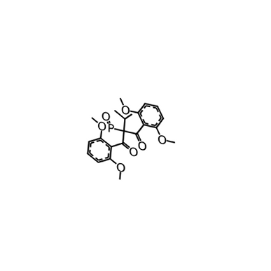 COc1cccc(OC)c1C(=O)C(P=O)(C(=O)c1c(OC)cccc1OC)C(C)C